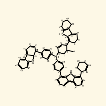 CC1CC(N(c2ccc(-c3cccc4c3sc3c(C5C=CCCC5)cccc34)cc2)c2ccc(C3C=CC=C4c5ccccc5SC43)cc2)C=CC1C1=c2sc3c(c2=CCC1)CCCC3